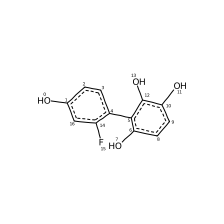 Oc1ccc(-c2c(O)ccc(O)c2O)c(F)c1